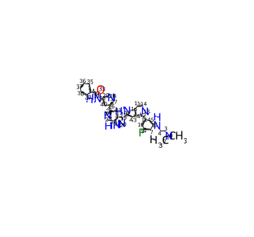 CN(C)CCNc1cc(F)cc(-c2nccc3[nH]c(-c4n[nH]c5cnc(-c6cncc(NC(=O)c7ccccc7)c6)cc45)cc23)c1